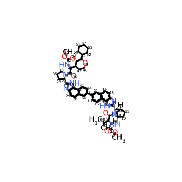 COC(=O)N[C@H](C(=O)N1[C@@H]2CC[C@@H](C2)[C@H]1c1nc2ccc3cc(-c4ccc5c(ccc6nc([C@@H]7CCCN7C(=O)[C@@H](NC(=O)OC)C7CCOC(C8CCCCC8)C7)[nH]c65)c4)ccc3c2[nH]1)C(C)C